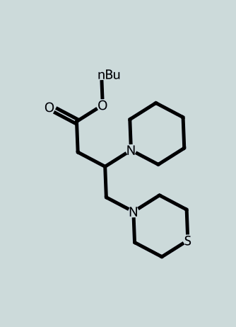 CCCCOC(=O)CC(CN1CCSCC1)N1CCCCC1